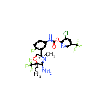 C[C@@]1(c2cc(NC(=O)Oc3ncc(C(F)(F)F)cc3Cl)ccc2F)CO[C@@](C)(C(F)(F)F)C(N)=N1